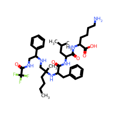 CCCCC(C)(CNC(CNC(=O)C(F)(F)F)c1ccccc1)NC(Cc1ccccc1)C(=O)NC(CC(C)C)C(=O)NC(CCCCN)C(=O)O